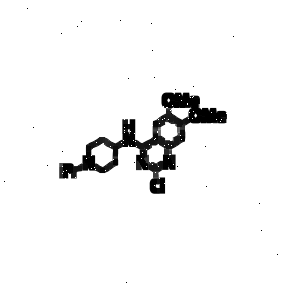 COc1cc2nc(Cl)nc(NC3CCN(C(C)C)CC3)c2cc1OC